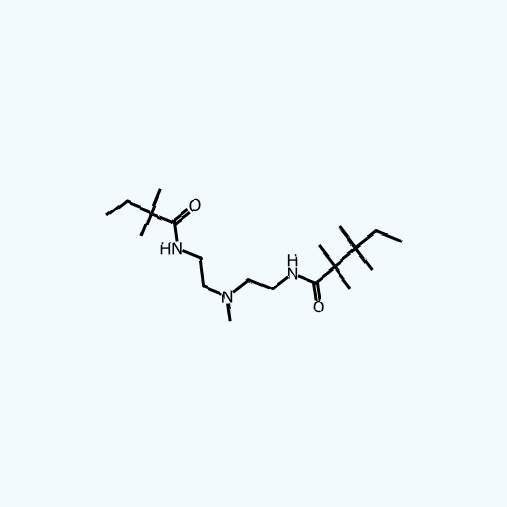 CCC(C)(C)C(=O)NCCN(C)CCNC(=O)C(C)(C)C(C)(C)CC